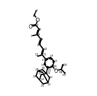 CCOC(=O)/C=C(C)/C=C/C=C(\C)c1ccc(OC(C)C)c(C23CC4CC(CC(C4)C2)C3)c1